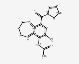 CC(=O)Nc1c(Cl)cc(C(=O)N2C=CNC2)c2c1=NCCCN=2